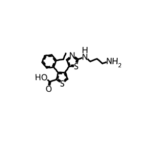 CCc1ccccc1-c1c(-c2cnc(NCCCN)s2)csc1C(=O)O